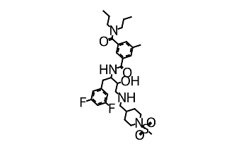 CCCN(CCC)C(=O)c1cc(C)cc(C(=O)NC(Cc2cc(F)cc(F)c2)C(O)CNCC2CCN(S(C)(=O)=O)CC2)c1